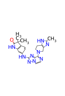 Cc1nc2c([nH]1)CCN(c1nccn3nc(Nc4ccc5c(c4)NC(=O)C5(C)C)nc13)C2